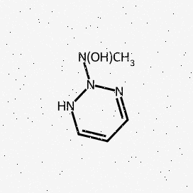 CN(O)N1N=CC=CN1